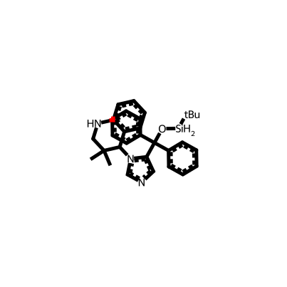 CC(C)(C)[SiH2]OC(c1ccccc1)(c1ccccc1)c1cncn1C1c2ccccc2NCC1(C)C